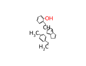 C1=Cc2ccccc2C1.C=Cc1ccc(C)cc1.C=Cc1ccccc1O